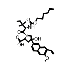 C=CCCCCOC(=O)N[C@H](C(=O)N1CC(O)(c2ccc3cc(OC)c(C=C)cc3c2)CC1C(=O)O)C(C)(C)CC